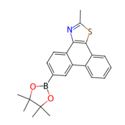 Cc1nc2c3ccc(B4OC(C)(C)C(C)(C)O4)cc3c3ccccc3c2s1